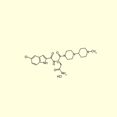 CN1CCC(N2CCN(C(=O)[C@@H](CC(N)=O)NC(=O)c3cc4cc(Cl)ccc4[nH]3)CC2)CC1.Cl